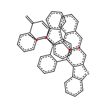 C=C(/C=C\C(=C/C)N(c1ccccc1-c1cccc2sc3ccccc3c12)c1cccc2ccccc12)c1ccccc1-n1c2ccccc2c2ccccc21